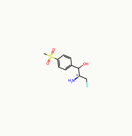 CS(=O)(=O)c1ccc(C(O)[C@H](N)CF)cc1